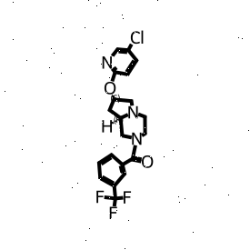 O=C(c1cccc(C(F)(F)F)c1)N1CCN2C[C@@H](Oc3ccc(Cl)cn3)C[C@@H]2C1